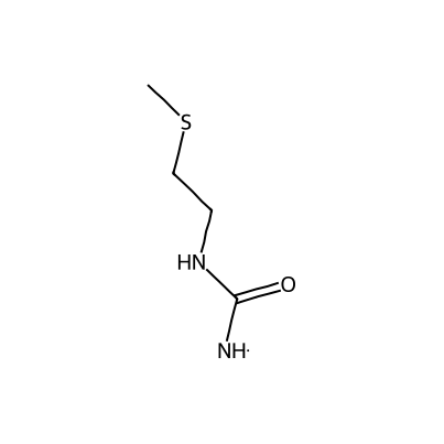 CSCCNC([NH])=O